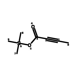 CC#CC(=O)O[Si](C)(C)C